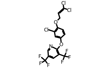 FC(F)(F)c1cnc(Oc2ccc(OCC=C(Cl)Cl)c(Cl)c2)c(C(F)(F)F)c1